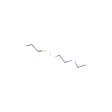 CCCSSCCNCC